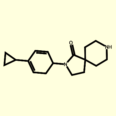 O=C1N(C2C=CC(C3CC3)=CC2)CCC12CCNCC2